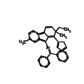 CCC1(C)C=CC2=c3ccc(C)cc3=[C]([Zr]=[C](c3ccccc3)c3ccccc3)C2=C1C1=CC=CC1